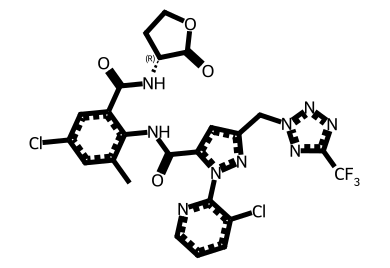 Cc1cc(Cl)cc(C(=O)N[C@@H]2CCOC2=O)c1NC(=O)c1cc(Cn2nnc(C(F)(F)F)n2)nn1-c1ncccc1Cl